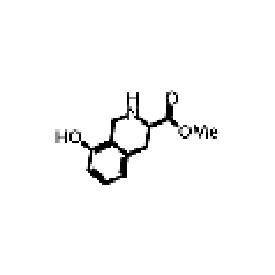 COC(=O)C1Cc2cccc(O)c2CN1